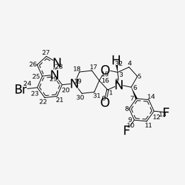 O=C1N2[C@@H](CC[C@H]2c2cc(F)cc(F)c2)OC12CCN(c1ccc(Br)c3ccnn13)CC2